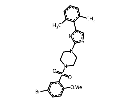 COc1ccc(Br)cc1S(=O)(=O)N1CCN(c2nc(-c3c(C)cccc3C)cs2)CC1